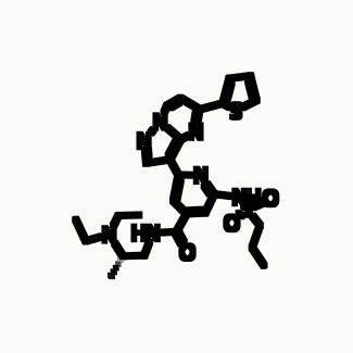 CCCS(=O)(=O)Nc1cc(C(=O)NC[C@H](C)N(CC)CC)cc(-c2cnn3ccc(-c4cccs4)nc23)n1